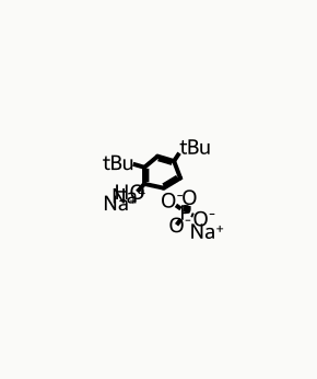 CC(C)(C)c1ccc(O)c(C(C)(C)C)c1.O=P([O-])([O-])[O-].[Na+].[Na+].[Na+]